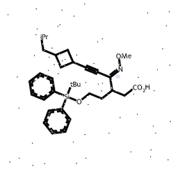 CO/N=C(\C#CC1CC(CC(C)C)C1)C(CCO[Si](c1ccccc1)(c1ccccc1)C(C)(C)C)CC(=O)O